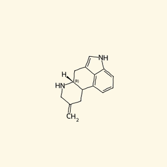 C=C1CN[C@@H]2Cc3c[nH]c4cccc(c34)C2C1